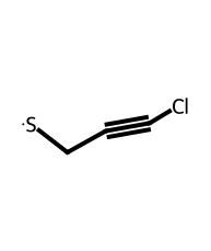 [S]CC#CCl